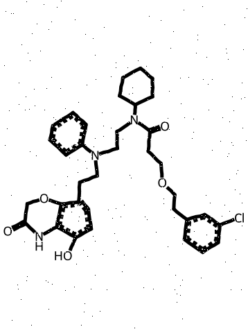 O=C1COc2c(CCN(CCN(C(=O)CCOCCc3cccc(Cl)c3)C3CCCCC3)c3ccccc3)ccc(O)c2N1